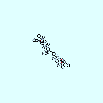 Cc1cc(N2C(=O)c3ccc4c5c(ccc(c35)C2=O)C(=O)N(c2ccccc2C2C(c3ccccc3)=Cc3ccccc32)C4=O)ccc1/C=C/c1ccc(N2C(=O)c3ccc4c5c(ccc(c35)C2=O)C(=O)N(c2ccccc2C2C(c3ccccc3)=Cc3ccccc32)C4=O)cc1S(=O)(=O)O